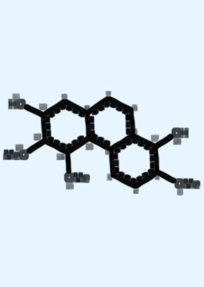 COc1ccc2c(ccc3cc(O)c(OC)c(OC)c32)c1O